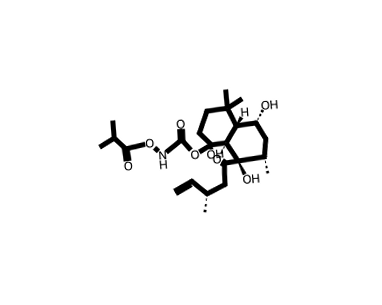 C=C[C@@H](C)CC(=O)[C@@]1(O)[C@@H](C)C[C@@H](O)[C@H]2C(C)(C)CC[C@@](O)(OC(=O)NOC(=O)C(C)C)[C@@]21C